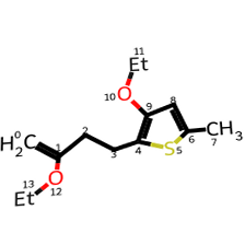 C=C(CCc1sc(C)cc1OCC)OCC